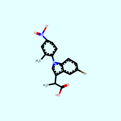 Cc1cc([N+](=O)[O-])ccc1-n1cc(C(C)C(=O)O)c2cc(Br)ccc21